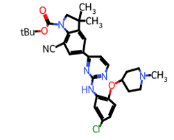 CN1CCC(Oc2ccc(Cl)cc2Nc2nccc(-c3cc(C#N)c4c(c3)C(C)(C)CN4C(=O)OC(C)(C)C)n2)CC1